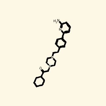 Nc1cccc(-c2ccc(CCN3CCN(CC(=O)C4CCCCC4)CC3)cc2)n1